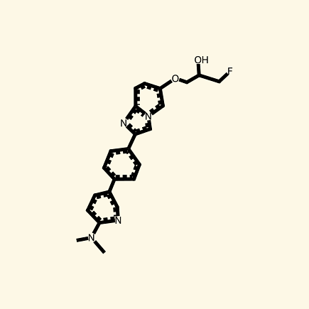 CN(C)c1ccc(-c2ccc(-c3cn4cc(OCC(O)CF)ccc4n3)cc2)cn1